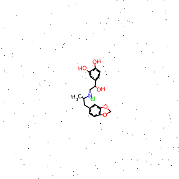 CC(Cc1ccc2c(c1)OCO2)N(Cl)CC(O)c1ccc(O)c(O)c1